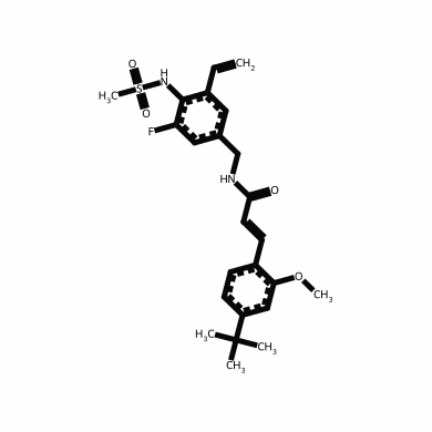 C=Cc1cc(CNC(=O)C=Cc2ccc(C(C)(C)C)cc2OC)cc(F)c1NS(C)(=O)=O